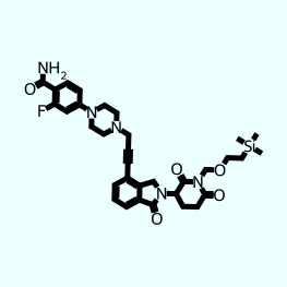 C[Si](C)(C)CCOCN1C(=O)CCC(N2Cc3c(C#CCN4CCN(c5ccc(C(N)=O)c(F)c5)CC4)cccc3C2=O)C1=O